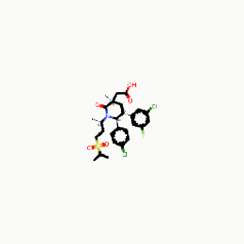 CC(C)S(=O)(=O)CC[C@H](C)N1C(=O)[C@@](C)(CC(=O)O)C[C@H](c2cc(F)cc(Cl)c2)[C@H]1c1ccc(Cl)cc1